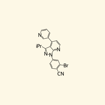 CC(C)c1nn(-c2ccc(C#N)c(Br)c2)c2nccc(-c3cccnc3)c12